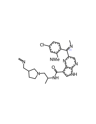 C=NCC1CCN(CC(C)NC(=O)c2c[nH]c3ncc(/C(=N/C)c4ccc(Cl)cc4NC)nc23)C1